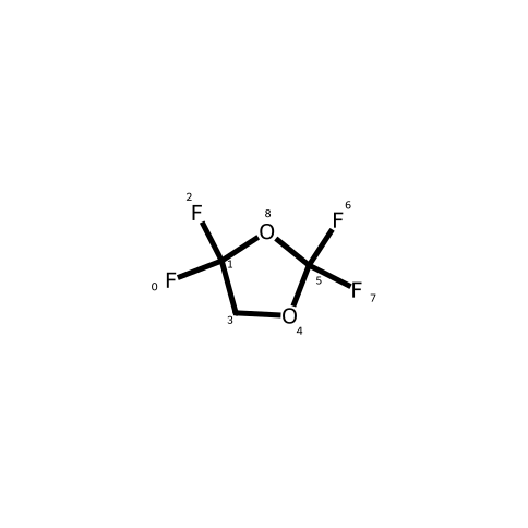 FC1(F)COC(F)(F)O1